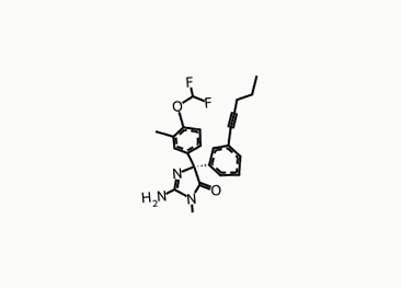 CCCC#Cc1cccc([C@@]2(c3ccc(OC(F)F)c(C)c3)N=C(N)N(C)C2=O)c1